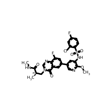 CNC(=O)[C@H](C)Cn1cnc2c(F)cc(-c3cnc(OC)c(NS(=O)(=O)c4ccc(F)cc4Cl)c3)cc2c1=O